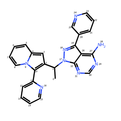 CC(c1cc2ccccn2c1-c1ccccn1)n1nc(-c2cccnc2)c2c(N)ncnc21